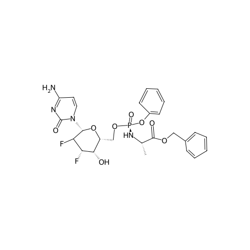 C[C@H](N[P@](=O)(OC[C@H]1O[C@@H](n2ccc(N)nc2=O)C(F)[C@@H](F)[C@H]1O)Oc1ccccc1)C(=O)OCc1ccccc1